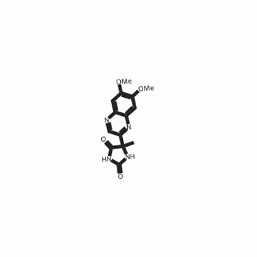 COc1cc2ncc(C3(C)NC(=O)NC3=O)nc2cc1OC